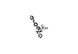 CC(C)N(c1nn(-c2ccc(/C=C/c3ccncc3)cc2)cc1OC(=O)O)C(=O)[C@H]1CC[C@H](C)CC1